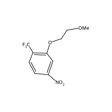 COCCOc1cc([N+](=O)[O-])ccc1C(F)(F)F